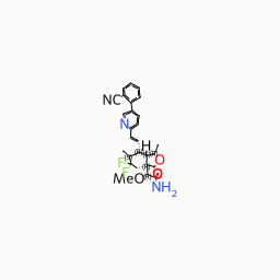 CO[C@@H](C(N)=O)[C@@]12CC(F)(F)[C@@H](C)[C@H](C=Cc3ccc(-c4ccccc4C#N)cn3)[C@@H]1[C@@H](C)OC2=O